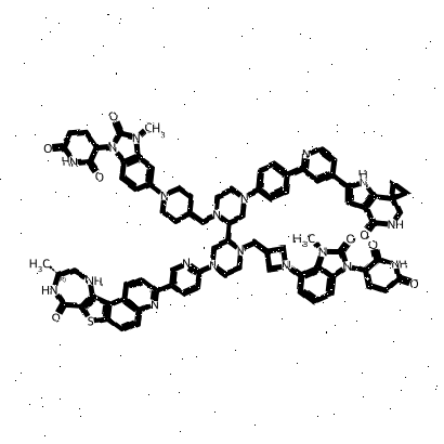 C[C@@H]1CNc2c(sc3ccc4nc(-c5ccc(N6CCN(CC7CN(c8cccc9c8n(C)c(=O)n9C8CCC(=O)NC8=O)C7)C(C7CN(c8ccc(-c9cc(-c%10cc%11c([nH]%10)C%10(CC%10)CNC%11=O)ccn9)cc8)CCN7CC7CCN(c8ccc9c(c8)n(C)c(=O)n9C8CCC(=O)NC8=O)CC7)C6)nc5)ccc4c23)C(=O)N1